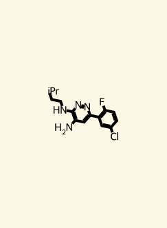 CC(C)CCNc1nnc(-c2cc(Cl)ccc2F)cc1N